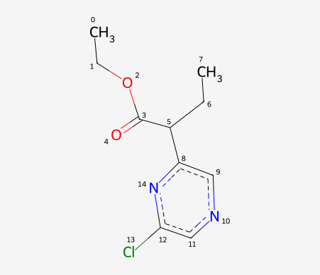 CCOC(=O)C(CC)c1cncc(Cl)n1